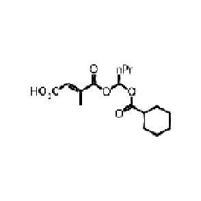 CCCC(OC(=O)/C(C)=C/C(=O)O)OC(=O)C1CCCCC1